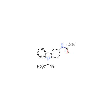 CCC(C(=O)O)n1c2c(c3ccccc31)C[C@H](NC(=O)OCC(C)C)CC2